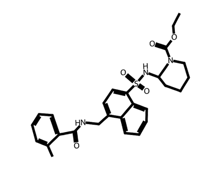 CCOC(=O)N1CCCCC1NS(=O)(=O)c1ccc(CNC(=O)c2ccccc2C)c2ccccc12